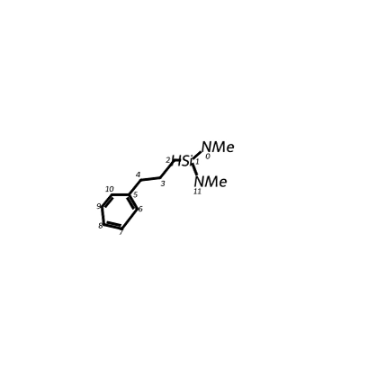 CN[SiH](CCCc1ccccc1)NC